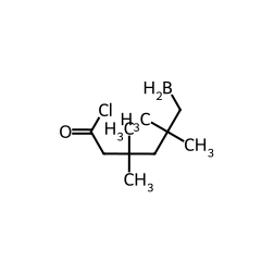 BCC(C)(C)CC(C)(C)CC(=O)Cl